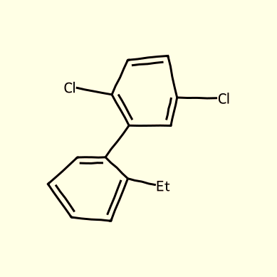 CCc1ccccc1-c1cc(Cl)ccc1Cl